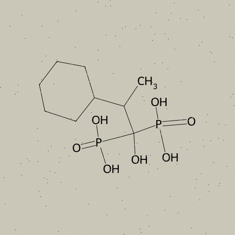 CC(C1CCCCC1)C(O)(P(=O)(O)O)P(=O)(O)O